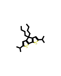 CCCCC1(CCCC)c2cc(C(C)C)sc2-c2sc(C(C)C)cc21